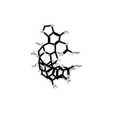 CCCCCCCC(=O)Oc1c(C)c2c(c3c1[C@H]1SC[C@]4(NCCc5cc(O)c(OC)cc54)C(=O)OC[C@@H]3N3C1[C@H]1c4c(cc(C)c(OC)c4OC(=O)CCCCCCC)C[C@@H]([C@@H]3O)N1C)OCO2